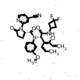 C=C/C(Cl)=C(\C=C/C)[C@@H](C(=O)NC1CC(F)(F)C1)N(C(=O)[C@@H]1CCC(=O)N1c1cc(C#N)ccn1)c1cccc(OC)c1